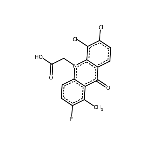 Cc1c(F)ccc2c1c(=O)c1ccc(Cl)c(Cl)c1n2CC(=O)O